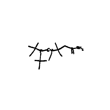 BBCC(C)(C)P(C)CP(C(C)(C)C)C(C)(C)C